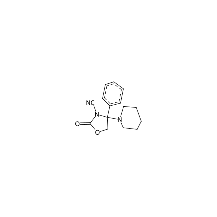 N#CN1C(=O)OCC1(c1ccccc1)N1CCCCC1